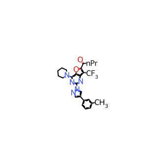 CCCC(=O)c1oc2c(N3CCCCC3)nc(-n3cc(-c4cccc(C)c4)cn3)nc2c1C(F)(F)F